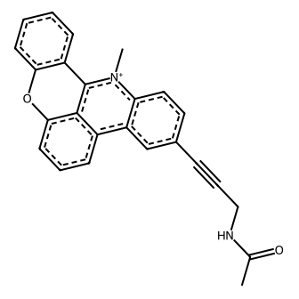 CC(=O)NCC#Cc1ccc2c(c1)c1cccc3c1c([n+]2C)-c1ccccc1O3